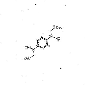 CCCCCCCCCCCN(N=O)c1ccc(N(CCCCCCCCCCC)N=O)cc1